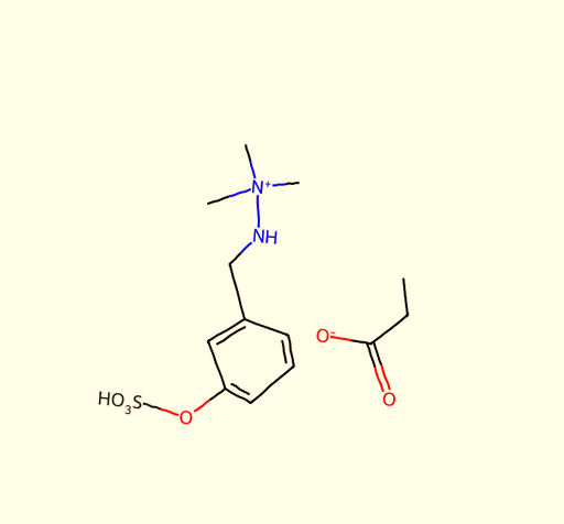 CCC(=O)[O-].C[N+](C)(C)NCc1cccc(OS(=O)(=O)O)c1